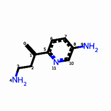 C=C(CCN)c1ccc(N)cn1